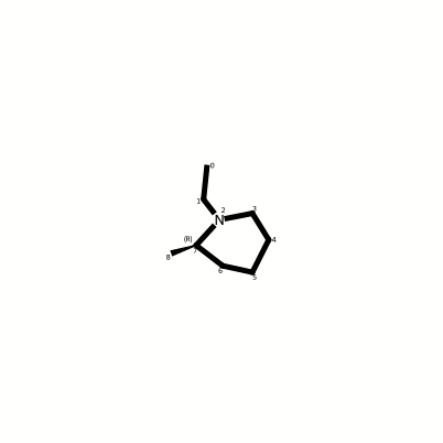 CCN1CCCC[C@H]1C